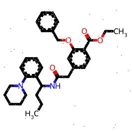 CCCC(NC(=O)Cc1ccc(C(=O)OCC)c(OCc2ccccc2)c1)c1ccccc1N1CCCCC1